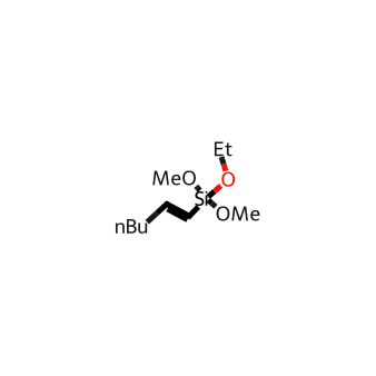 CCCCC=C[Si](OC)(OC)OCC